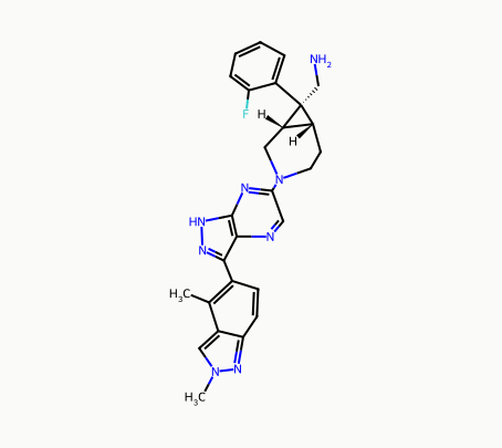 Cc1c(-c2n[nH]c3nc(N4CC[C@@H]5[C@H](C4)[C@@]5(CN)c4ccccc4F)cnc23)ccc2nn(C)cc12